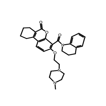 CN1CCN(CCOc2ccc3c4c(c(=O)oc3c2C(=O)N2CCCc3ccccc32)CCCC4)CC1